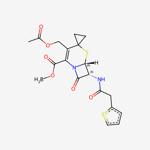 BOC(=O)C1=C(COC(C)=O)C2(CC2)S[C@@H]2[C@H](NC(=O)Cc3cccs3)C(=O)N12